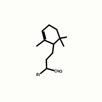 CCC(C=O)CCC1C(C)=CCCC1(C)C